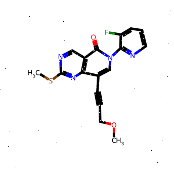 COCC#Cc1cn(-c2ncccc2F)c(=O)c2cnc(SC)nc12